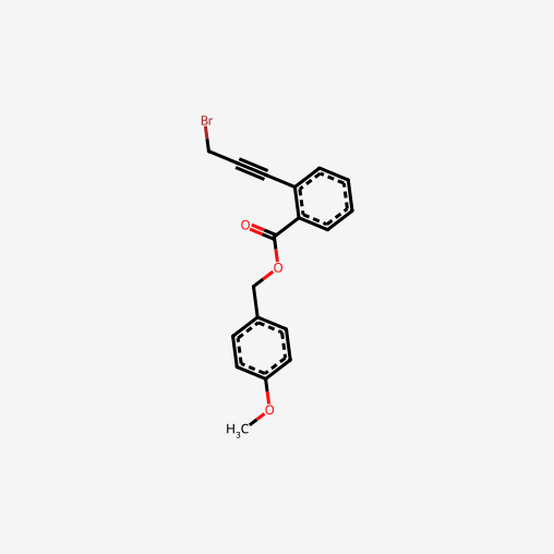 COc1ccc(COC(=O)c2ccccc2C#CCBr)cc1